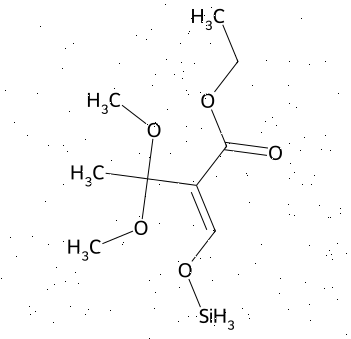 CCOC(=O)C(=CO[SiH3])C(C)(OC)OC